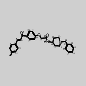 Cc1ccc(C=CC(=O)c2ccc(OCC(=O)NC3CCN(Cc4ccccc4)CC3)cc2)cc1